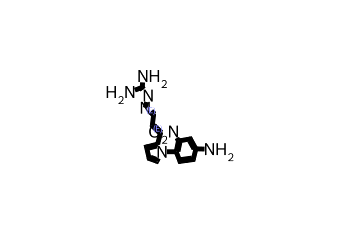 NC(N)=N/N=C/C=C/c1cccn1-c1ccc(N)cc1[N+](=O)[O-]